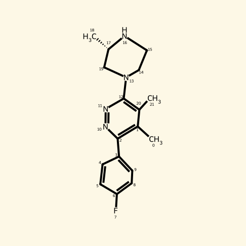 Cc1c(-c2ccc(F)cc2)nnc(N2CCN[C@@H](C)C2)c1C